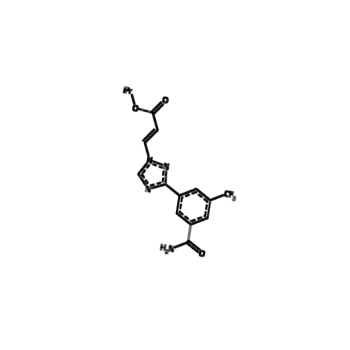 CC(C)OC(=O)C=Cn1cnc(-c2cc(C(N)=O)cc(C(F)(F)F)c2)n1